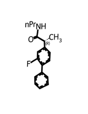 CCCNC(=O)[C@H](C)c1ccc(-c2ccccc2)c(F)c1